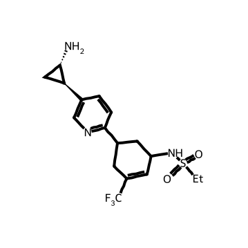 CCS(=O)(=O)NC1C=C(C(F)(F)F)CC(c2ccc([C@H]3C[C@@H]3N)cn2)C1